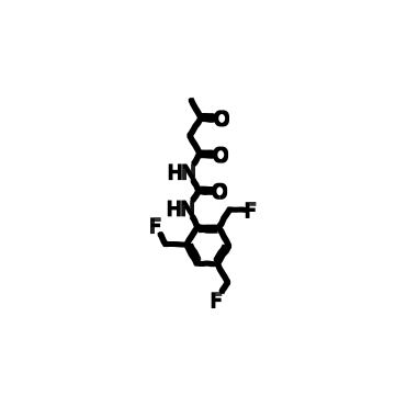 CC(=O)CC(=O)NC(=O)Nc1c(CF)cc(CF)cc1CF